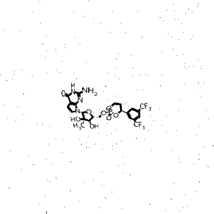 C[C@@]1(O)[C@H](O)[C@@H](CO[P@@]2(=O)OCC[C@@H](c3cc(C(F)(F)F)cc(C(F)(F)F)c3)O2)O[C@H]1n1ccc2c(=O)[nH]c(N)nc21